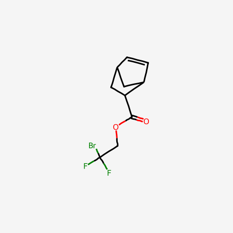 O=C(OCC(F)(F)Br)C1CC2C=CC1C2